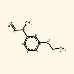 CCOc1cccc(C(C)C=O)c1